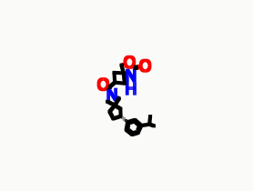 CC(C)c1cccc([C@@H]2CCC3(C2)CN(C(=O)C2CC4(COC(=O)N4)C2)C3)c1